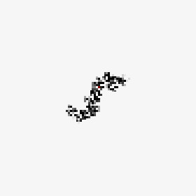 Cn1c(-c2ccc(-c3cnn(COCC[Si](C)(C)C)c3-c3ccccn3)c(F)c2F)cnc1C(=O)Nc1ccc(C(=O)N2CCN(C(=O)C3CC[N+](C)(C)CC3)CC2)c(Cl)c1